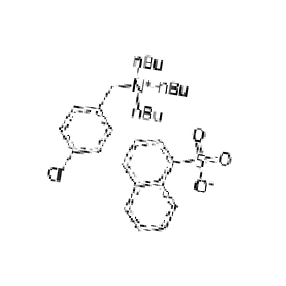 CCCC[N+](CCCC)(CCCC)Cc1ccc(Cl)cc1.O=S(=O)([O-])c1cccc2ccccc12